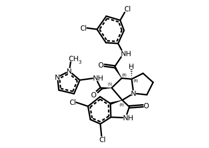 Cn1nccc1NC(=O)[C@H]1[C@@H](C(=O)Nc2cc(Cl)cc(Cl)c2)[C@H]2CCCN2[C@]12C(=O)Nc1c(Cl)cc(Cl)cc12